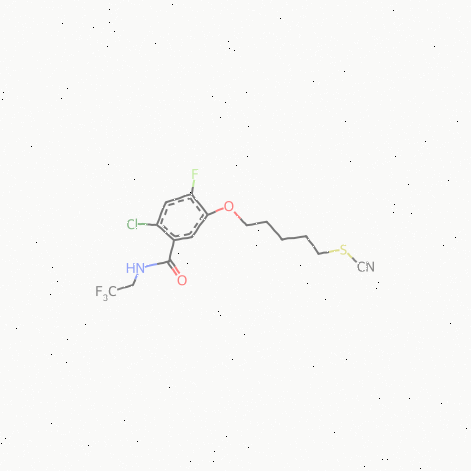 N#CSCCCCCOc1cc(C(=O)NCC(F)(F)F)c(Cl)cc1F